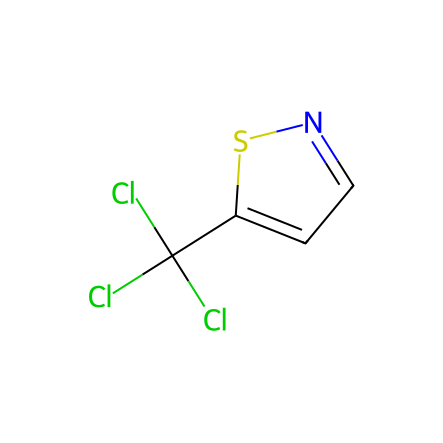 ClC(Cl)(Cl)c1ccns1